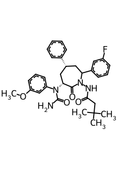 COc1cccc(N(C(N)=O)[C@@H]2C[C@H](c3ccccc3)CC(c3cccc(F)c3)N(NC(=O)CC(C)(C)C)C2=O)c1